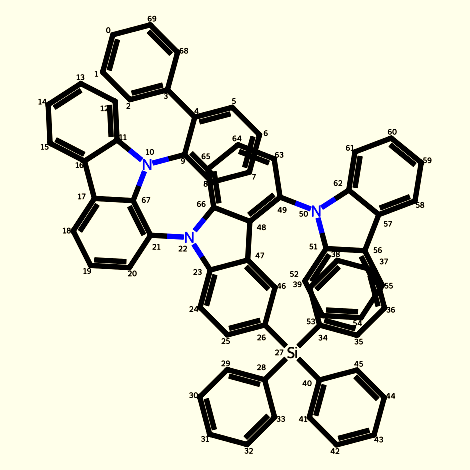 c1ccc(-c2ccccc2-n2c3ccccc3c3cccc(-n4c5ccc([Si](c6ccccc6)(c6ccccc6)c6ccccc6)cc5c5c(-n6c7ccccc7c7ccccc76)cccc54)c32)cc1